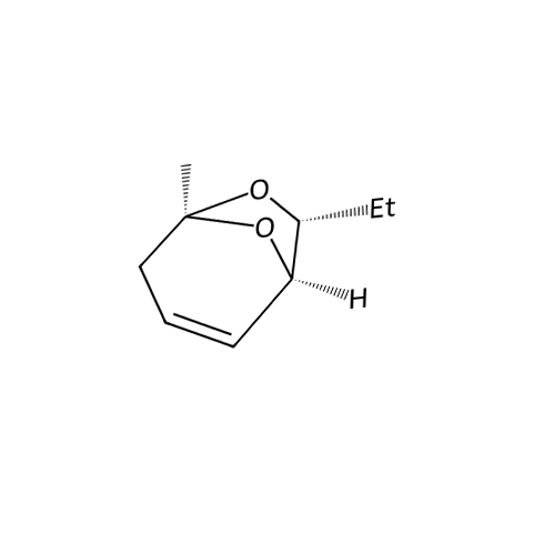 CC[C@H]1O[C@]2(C)CC=C[C@H]1O2